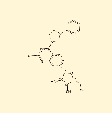 [O]C[C@H]1O[C@@H](c2ccc3c(N4CCC(c5ccccc5)C4)nc(Cl)nc3c2)[C@H](O)[C@@H]1O